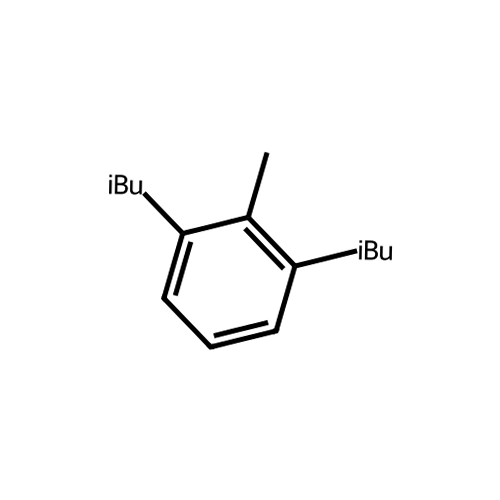 CCC(C)c1cccc(C(C)CC)c1C